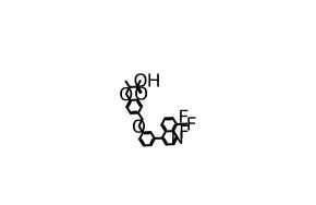 CC(Oc1ccc(COc2cccc(-c3ccnc4c(C(F)(F)F)cccc34)c2)cc1)C(=O)O